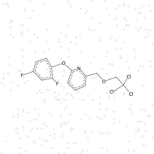 Fc1ccc(Oc2cccc(COCC(Cl)(Cl)Cl)n2)c(F)c1